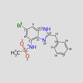 CS(=O)(=O)Nc1cc(Br)cc2[nH]c(Cc3ccccc3)nc12